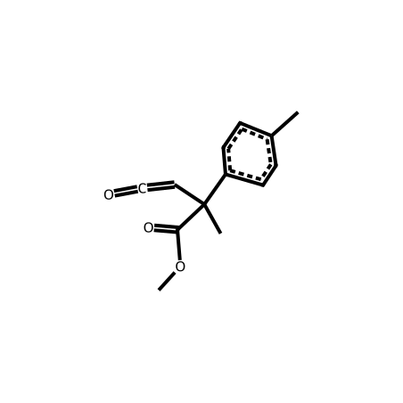 COC(=O)C(C)(C=C=O)c1ccc(C)cc1